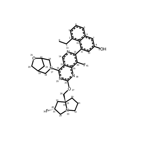 CCc1cccc2cc(O)cc(-c3ncc4c(N5CC6COC(C6)C5)nc(OC[C@@]56CCCN5C[C@H](F)C6)nc4c3F)c12